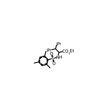 CCOC(=O)C(NS(=O)(=O)c1c(C)cc(C)cc1C)C(C(C)C)C(C)C